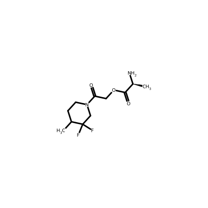 CC1CCN(C(=O)COC(=O)[C@H](C)N)CC1(F)F